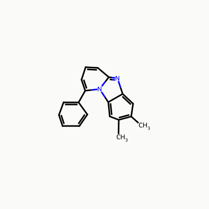 Cc1cc2nc3cccc(-c4ccccc4)n3c2cc1C